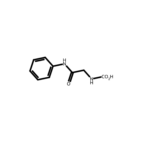 O=C(O)NCC(=O)Nc1ccccc1